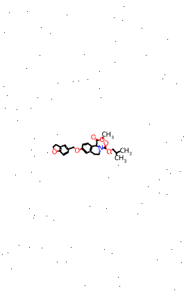 COC(=O)C1c2ccc(OCc3ccc4c(c3)CCO4)cc2CCN1C(=O)OCC(C)C